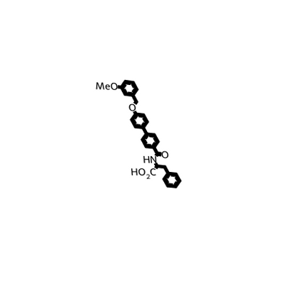 COc1cccc(COc2ccc(-c3ccc(C(=O)NC(Cc4ccccc4)C(=O)O)cc3)cc2)c1